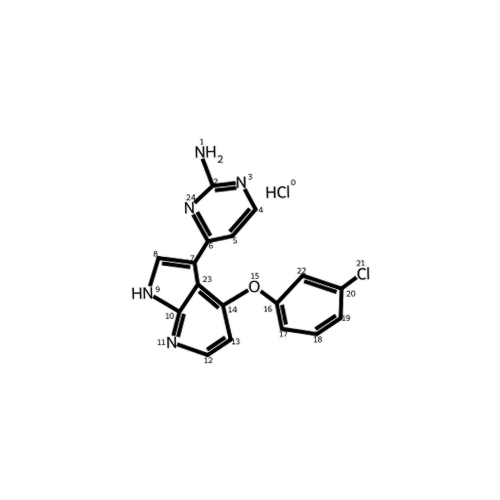 Cl.Nc1nccc(-c2c[nH]c3nccc(Oc4cccc(Cl)c4)c23)n1